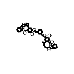 C=C1CCC[C@@H]2Cc3ccccc3N2C(=O)c2cc(OC)c(OCc3cccc(COc4cc5c(cc4OC)C(=O)N4c6ccccc6C[C@H]4C4=C5CC4)c3)cc21